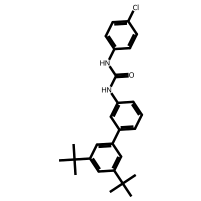 CC(C)(C)c1cc(-c2cccc(NC(=O)Nc3ccc(Cl)cc3)c2)cc(C(C)(C)C)c1